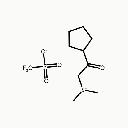 C[S+](C)CC(=O)C1CCCC1.O=S(=O)([O-])C(F)(F)F